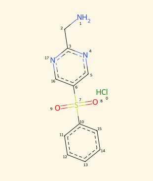 Cl.NCc1ncc(S(=O)(=O)c2ccccc2)cn1